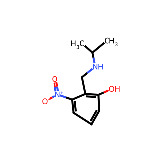 CC(C)NCc1c(O)cccc1[N+](=O)[O-]